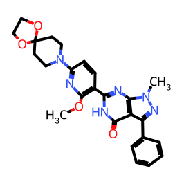 COc1nc(N2CCC3(CC2)OCCO3)ccc1-c1nc2c(c(-c3ccccc3)nn2C)c(=O)[nH]1